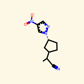 CC(C#N)C1CC[C@@H](n2cc([N+](=O)[O-])cn2)C1